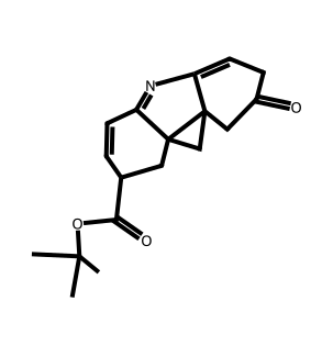 CC(C)(C)OC(=O)C1C=CC2=NC3=CCC(=O)CC34CC24C1